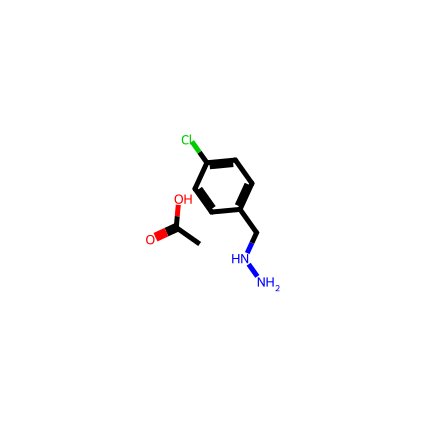 CC(=O)O.NNCc1ccc(Cl)cc1